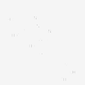 COc1c(C(=O)Nc2nn(CC(C)OC)c3ccccc23)ccc2c1C=CC(C)(C)O2